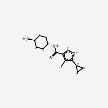 N[C@H]1CC[C@H](NC(=O)c2noc(C3CC3)c2I)CC1